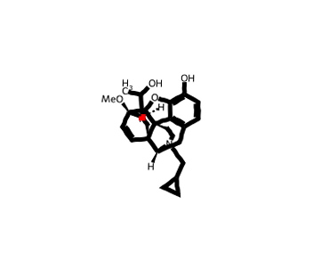 CO[C@]12C=C[C@@]3(C[C@@H]1C(C)O)[C@H]1Cc4ccc(O)c5c4[C@@]3(CCN1CC1CC1)[C@H]2O5